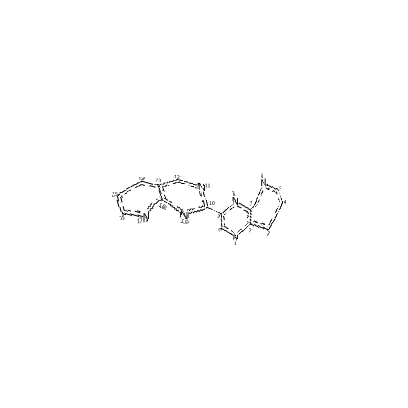 [c]1nc2cccnc2nc1-c1ncc2cccnc2n1